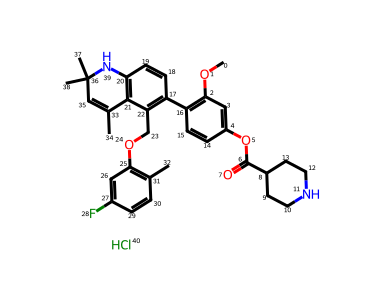 COc1cc(OC(=O)C2CCNCC2)ccc1-c1ccc2c(c1COc1cc(F)ccc1C)C(C)=CC(C)(C)N2.Cl